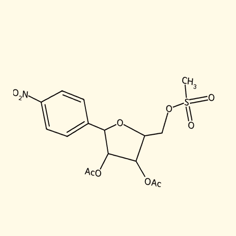 CC(=O)OC1C(COS(C)(=O)=O)OC(c2ccc([N+](=O)[O-])cc2)C1OC(C)=O